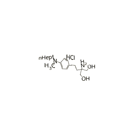 CCCCCCCN(C)c1ccc(CCC(N)(CO)CO)cc1.Cl